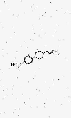 C=CCC1CCC(c2ccc(C(=O)O)cc2)CC1